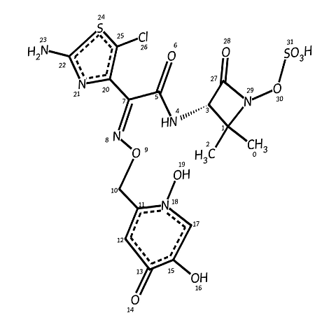 CC1(C)[C@H](NC(=O)/C(=N\OCc2cc(=O)c(O)cn2O)c2nc(N)sc2Cl)C(=O)N1OS(=O)(=O)O